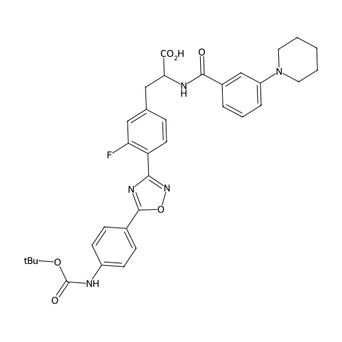 CC(C)(C)OC(=O)Nc1ccc(-c2nc(-c3ccc(CC(NC(=O)c4cccc(N5CCCCC5)c4)C(=O)O)cc3F)no2)cc1